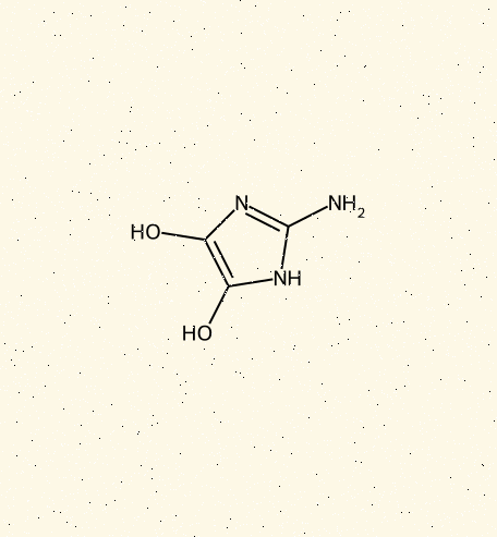 Nc1nc(O)c(O)[nH]1